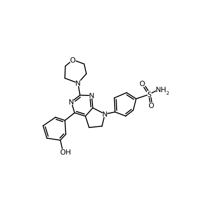 NS(=O)(=O)c1ccc(N2CCc3c(-c4cccc(O)c4)nc(N4CCOCC4)nc32)cc1